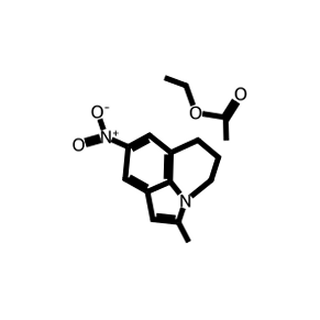 CCOC(C)=O.Cc1cc2cc([N+](=O)[O-])cc3c2n1CCC3